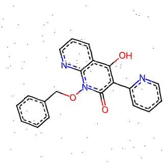 O=c1c(-c2ccccn2)c(O)c2cccnc2n1OCc1ccccc1